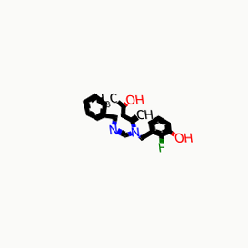 C=C(CC(C)O)N(/C=N\Cc1ccccc1)Cc1cccc(O)c1F